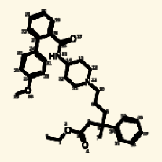 CCOC(=O)CC(C)(CCCN1CCC(NC(=O)c2ccccc2-c2ccc(OC)cc2)CC1)c1ccccc1